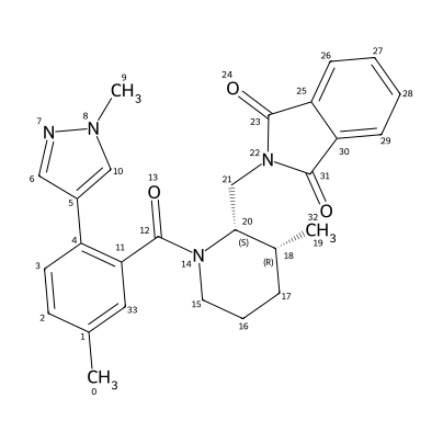 Cc1ccc(-c2cnn(C)c2)c(C(=O)N2CCC[C@@H](C)[C@H]2CN2C(=O)c3ccccc3C2=O)c1